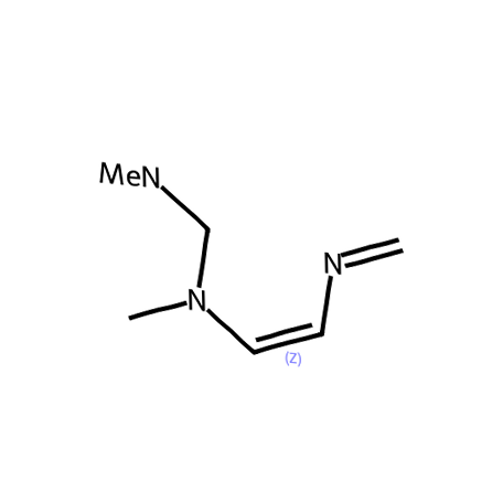 C=N/C=C\N(C)CNC